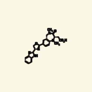 CN1Cc2cc(C3=NC(c4nc5ccccc5[nH]4)CO3)ccc2N(C)C(CC(=O)O)C1=O